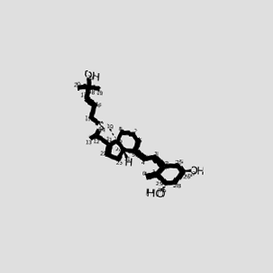 C=C1/C(=C\C=C2/CCC[C@]3(C)C(C(C)SC/C=C/C(C)(C)O)=CC[C@@H]23)C[C@@H](O)C[C@@H]1O